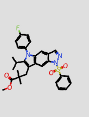 COC(=O)C(C)(C)Cc1c(C(C)C)n(-c2ccc(F)cc2)c2cc3cnn(S(=O)(=O)c4ccccc4)c3cc12